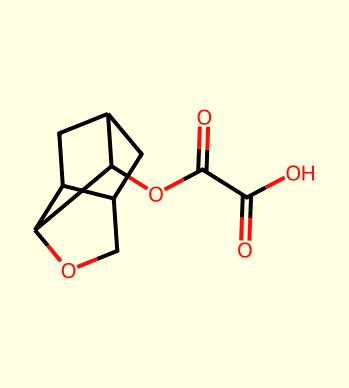 O=C(O)C(=O)OC1C2CC3COC1C3C2